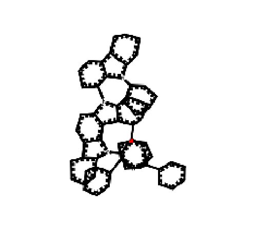 c1ccc(-c2cc(-c3cccc4c3c3c(ccc5c6ccccc6n(-c6ccccc6)c53)n4-c3cccc4c5ccccc5n(-c5ccccc5)c34)nc(-c3ccccc3)n2)cc1